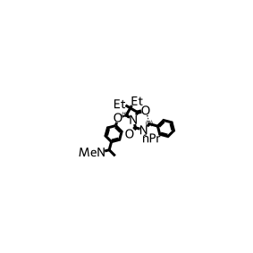 CCCN(C(=O)N1C(=O)C(CC)(CC)[C@@H]1Oc1ccc(C(C)NC)cc1)[C@H](C)c1ccccc1